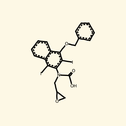 O=C(O)N(CC1CO1)c1c(I)c(OCc2ccccc2)c2ccccc2c1I